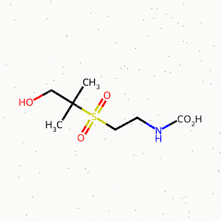 CC(C)(CO)S(=O)(=O)CCNC(=O)O